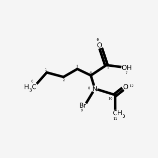 CCCCC(C(=O)O)N(Br)C(C)=O